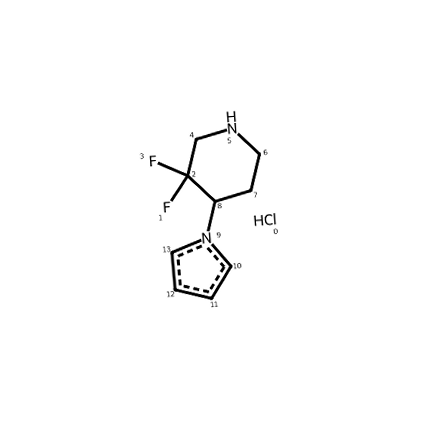 Cl.FC1(F)CNCCC1n1cccc1